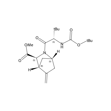 C=C1C[C@@H]2C[C@H]1[C@@H](C(=O)OC)N2C(=O)[C@@H](NC(=O)OC(C)(C)C)C(C)(C)C